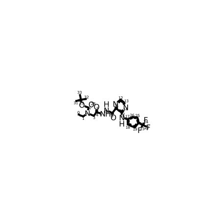 CCN(CC(=O)NNC(=O)c1nccnc1Nc1ccc(C(F)(F)F)cc1)C(=O)OC(C)(C)C